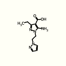 CCc1nn(CCn2cccn2)c(N)c1C(=O)O